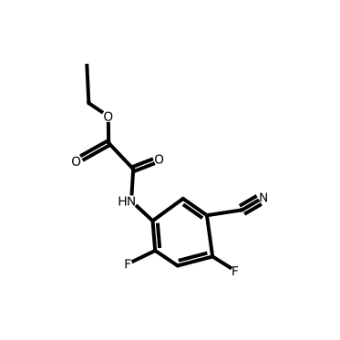 CCOC(=O)C(=O)Nc1cc(C#N)c(F)cc1F